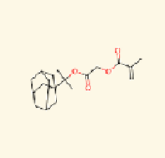 C=C(C)C(=O)OCC(=O)OC(C)(C)C12CC3CC(CC(C3)C1)C2